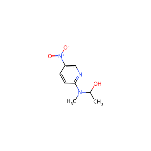 CC(O)N(C)c1ccc([N+](=O)[O-])cn1